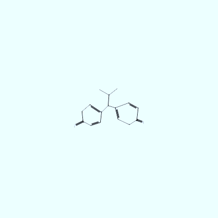 CC(C)C(C1=CCC(=O)C=C1)C1=CCC(=O)C=C1